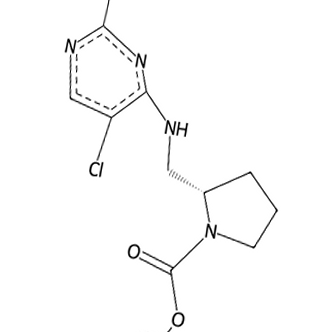 CC(C)(C)OC(=O)N1CCC[C@H]1CNc1nc(Cl)ncc1Cl